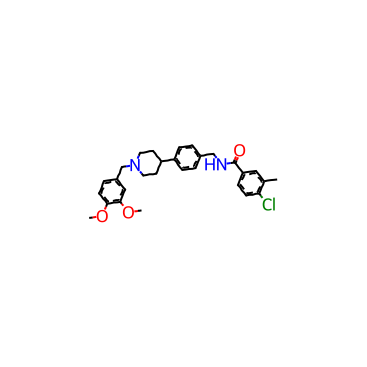 COc1ccc(CN2CCC(c3ccc(CNC(=O)c4ccc(Cl)c(C)c4)cc3)CC2)cc1OC